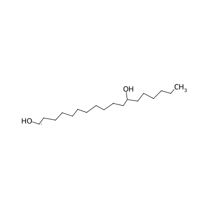 CCCCCCC(O)CCCCCCCCCC[CH]O